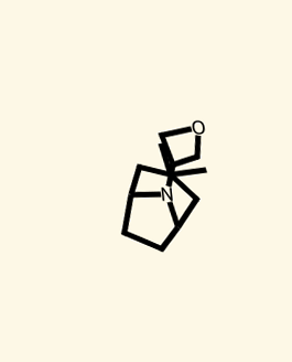 CC1(C)CC2CCC(C1)N2C1COC1